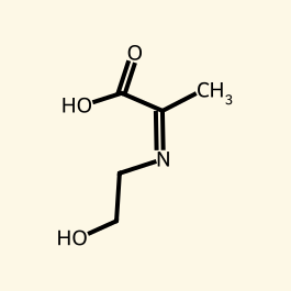 CC(=NCCO)C(=O)O